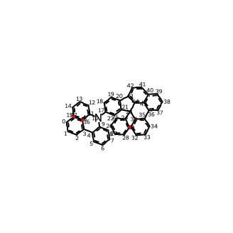 c1ccc(-c2ccccc2N(c2ccccc2)c2ccc3c(c2)C2(c4ccccc4)c4ccccc4-c4cccc5ccc-3c2c45)cc1